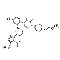 CC1C(c2ccc(Cl)cc2N2CCCC(n3ncc(C(=O)O)c3C(F)F)C2)C=CC(N2CCN(CCOC(F)(F)F)CC2)C1C